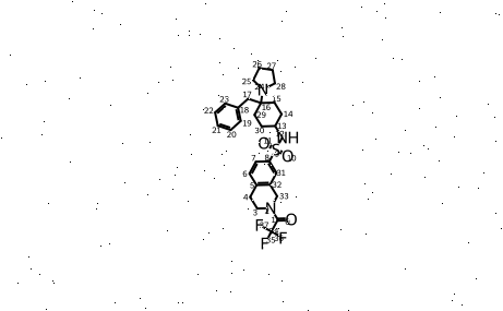 O=C(N1CCc2ccc(S(=O)(=O)NC3CCC(Cc4ccccc4)(N4CCCC4)CC3)cc2C1)C(F)(F)F